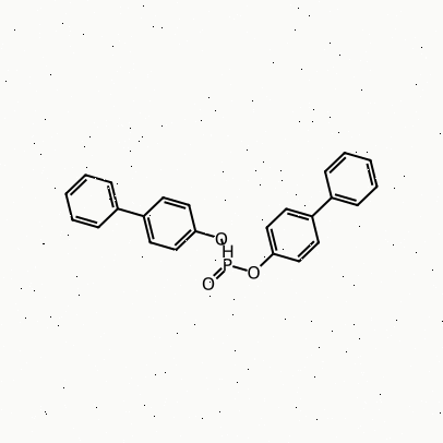 O=[PH](Oc1ccc(-c2ccccc2)cc1)Oc1ccc(-c2ccccc2)cc1